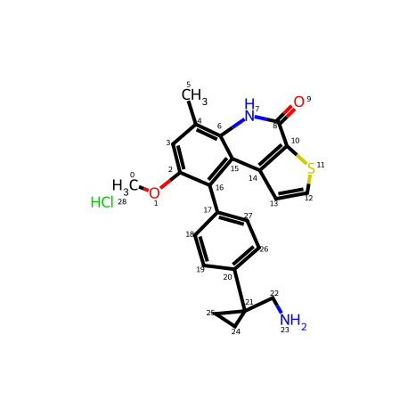 COc1cc(C)c2[nH]c(=O)c3sccc3c2c1-c1ccc(C2(CN)CC2)cc1.Cl